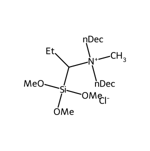 CCCCCCCCCC[N+](C)(CCCCCCCCCC)C(CC)[Si](OC)(OC)OC.[Cl-]